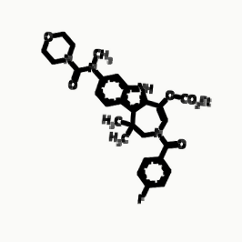 CCOC(=O)OC1=CN(C(=O)c2ccc(F)cc2)CC(C)(C)c2c1[nH]c1cc(N(C)C(=O)N3CCOCC3)ccc21